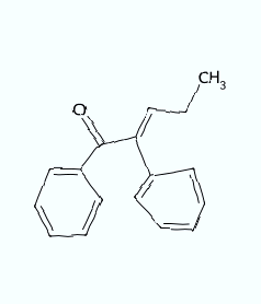 CCC=C(C(=O)c1ccccc1)c1ccccc1